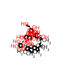 C[C@H](CC[C@@H](O[C@@H]1OC[C@@H](O)[C@H](O)[C@H]1O[C@H]1O[C@@H](CO)[C@H](O)[C@@H](O[C@H]2O[C@@H](CCO)[C@H](O)[C@@H](O)[C@@H]2O)[C@@H]1O)C(C)(C)O)C1CC[C@@]2(C)C3CC=C4C(CC[C@H](O[C@@H]5O[C@H](CO[C@@H]6OC[C@@H](O)C[C@H]6O)[C@@H](O)[C@H](O)[C@H]5O)C4(C)C)[C@]3(C)[C@H](O)C[C@]12C